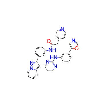 O=C(Cc1ccncc1)Nc1cccc(-c2nn3ccccc3c2-c2ccnc(Nc3cccc(-c4cnco4)c3)n2)c1